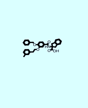 Cc1cccc(CCOc2cc(C(=O)NC3(C(=O)O)Cc4ccccc4C3)ccc2OCc2ccccc2)c1